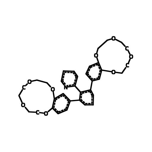 c1ccc(-c2c(-c3ccc4c(c3)OCCOCCOCCO4)cccc2-c2ccc3c(c2)OCCOCCOCCO3)nc1